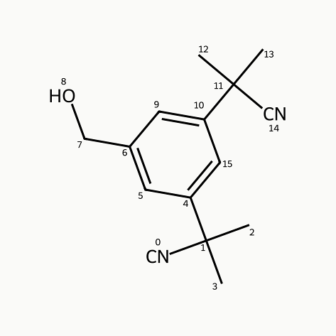 [C-]#[N+]C(C)(C)c1cc(CO)cc(C(C)(C)C#N)c1